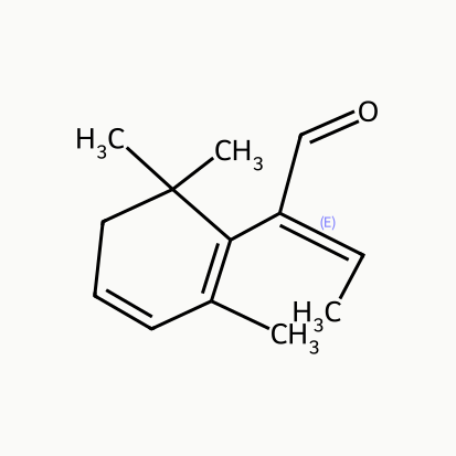 C/C=C(/C=O)C1=C(C)C=CCC1(C)C